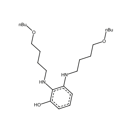 CCCCOCCCCNc1cccc(O)c1NCCCCOCCCC